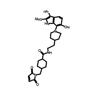 CCCc1c(SC)[nH]c2c(N3CCC(CCNC(=O)C4CCC(CN5C(=O)C=CC5=O)CC4)CC3)c(O)ccc12